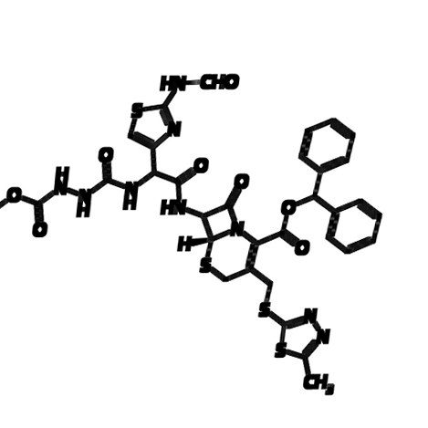 Cc1nnc(SCC2=C(C(=O)OC(c3ccccc3)c3ccccc3)N3C(=O)C(NC(=O)C(NC(=O)NNC(=O)OC(C)(C)C)c4csc(NC=O)n4)[C@H]3SC2)s1